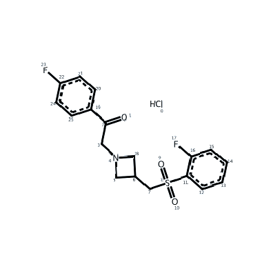 Cl.O=C(CN1CC(CS(=O)(=O)c2ccccc2F)C1)c1ccc(F)cc1